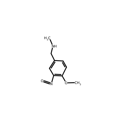 CNCc1ccc(OC)c(N=O)c1